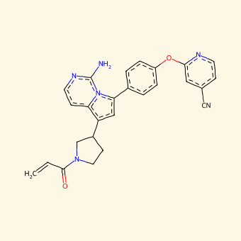 C=CC(=O)N1CCC(c2cc(-c3ccc(Oc4cc(C#N)ccn4)cc3)n3c(N)nccc23)C1